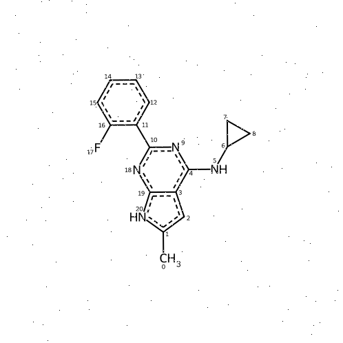 Cc1cc2c(NC3CC3)nc(-c3ccccc3F)nc2[nH]1